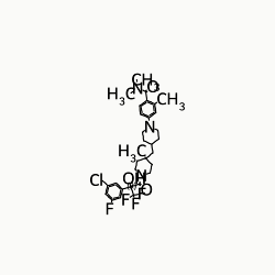 Cc1cc(N2CCC(CC3(C)CCN(C(=O)[C@](O)(c4cc(F)cc(Cl)c4)C(F)(F)F)CC3)CC2)ccc1C(=O)N(C)C